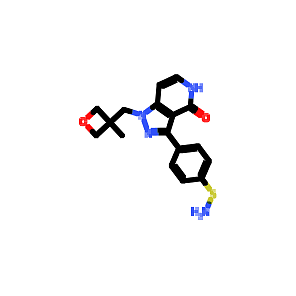 CC1(Cn2nc(-c3ccc(SN)cc3)c3c(=O)[nH]ccc32)COC1